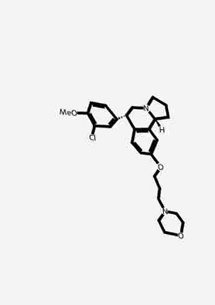 COc1ccc([C@@H]2CN3CCC[C@@H]3c3cc(OCCCN4CCOCC4)ccc32)cc1Cl